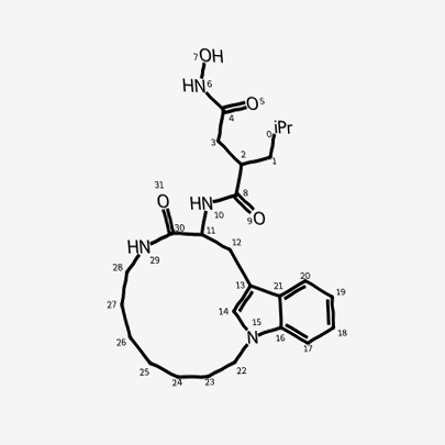 CC(C)CC(CC(=O)NO)C(=O)NC1Cc2cn(c3ccccc23)CCCCCCCNC1=O